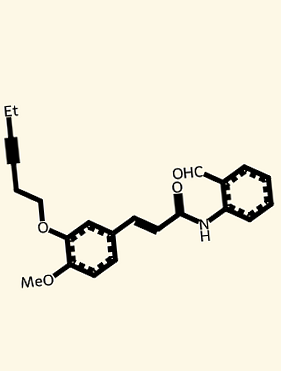 CCC#CCCOc1cc(/C=C/C(=O)Nc2ccccc2C=O)ccc1OC